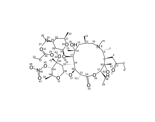 CCC(=O)C[C@@H]1[C@@H](C)N(C)C[C@H](C)C[C@@](C)(O)[C@H](O[C@@H]2O[C@H](C)C[C@H](N(C)C)[C@H]2OC(=O)CC)[C@@H](C)[C@H](O[C@H]2C[C@@](C)(OC)[C@@H](O[N+](=O)[O-])[C@H](C)O2)[C@@H](C)C(=O)O[C@H](CC)[C@@]1(C)O